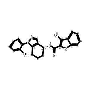 Cc1ccccc1-n1ncc2c1CCC[C@H]2NC(=O)c1oc2ccccc2c1C